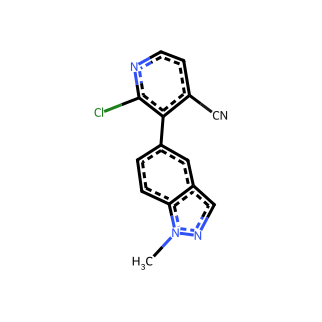 Cn1ncc2cc(-c3c(C#N)ccnc3Cl)ccc21